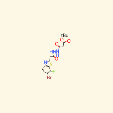 CC(C)(C)OC(=O)CC(=O)NNC(=O)Cc1nc2ccc(Br)c(F)c2s1